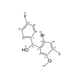 COc1cc(C(O)c2ccc(F)cc2)c(Br)cc1C